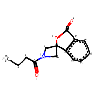 O=C1OC2(CN(C(=O)CCC(F)(F)F)C2)c2ccccc21